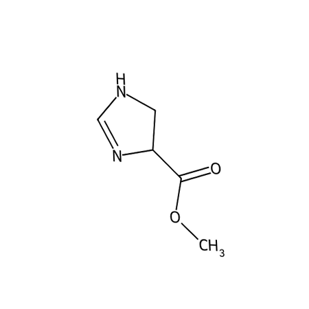 COC(=O)C1CNC=N1